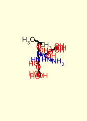 CCCCC(CC)COCC(O)CN(CCNCC(O)COCCC[Si](O)(O)O)CCN(CCNCCN)CC(O)COCCC[Si](O)(O)O